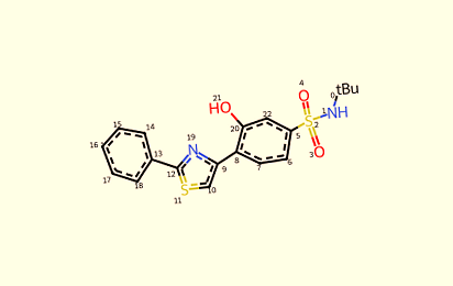 CC(C)(C)NS(=O)(=O)c1ccc(-c2csc(-c3cc[c]cc3)n2)c(O)c1